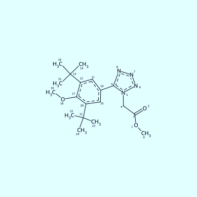 COC(=O)Cn1nnnc1-c1cc(C(C)(C)C)c(OC)c(C(C)(C)C)c1